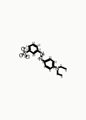 CCN(CC)c1ccc(N=Nc2cccc(S(=O)(=O)Cl)c2)cc1